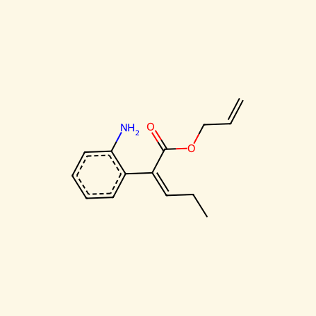 C=CCOC(=O)C(=CCC)c1ccccc1N